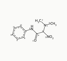 CN(C)C(C(=O)Nc1ccccc1)[N+](=O)[O-]